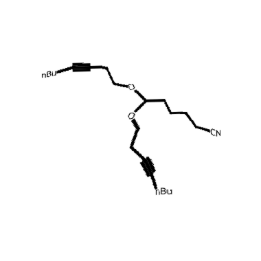 CCCCC#CCCOC(CCCCC#N)OCCC#CCCCC